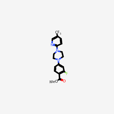 COC(=O)c1ccc(N2CCN(c3ccc(C(F)(F)F)cn3)CC2)cc1F